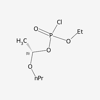 CCCO[C@H](C)OP(=O)(Cl)OCC